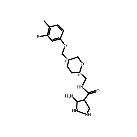 Cc1ccc(OC[C@@H]2CC[C@H](CNC(=O)C3CNNC3N)OC2)cc1F